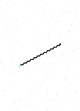 C=CCCCCCCCCCCCCCCCCCCCCCCCF